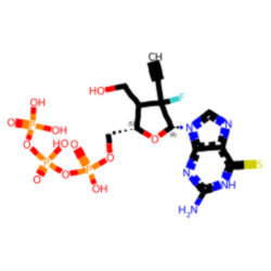 C#CC1(F)C(CO)[C@@H](COP(=O)(O)OP(=O)(O)OP(=O)(O)O)O[C@H]1n1cnc2c(=S)[nH]c(N)nc21